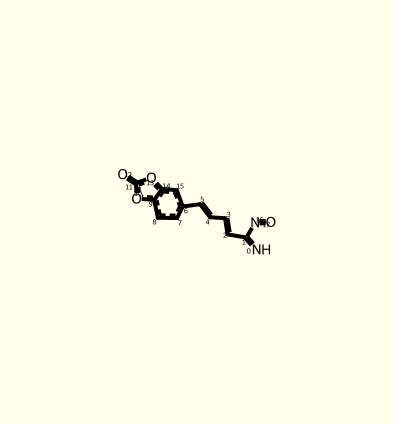 N=C(C=CC=Cc1ccc2oc(=O)oc2c1)N=O